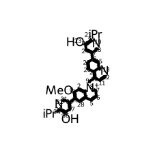 COc1cc2c(ccc[n+]2Cc2ccnc3cc(-c4cnc(C(C)C)c(O)c4)ccc23)cc1-c1cnc(C(C)C)c(O)c1